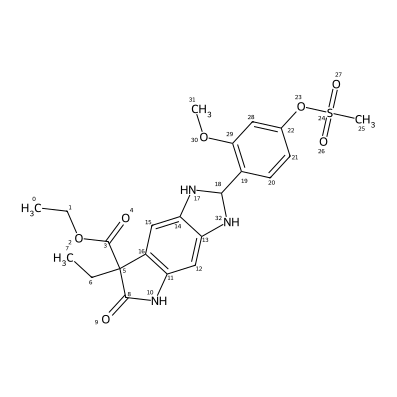 CCOC(=O)C1(CC)C(=O)Nc2cc3c(cc21)NC(c1ccc(OS(C)(=O)=O)cc1OC)N3